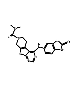 CN(C)C(=O)N1CCc2c(sc3ncnc(Nc4ccc5[nH]c(=O)sc5c4)c23)C1